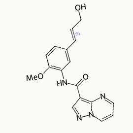 COc1ccc(/C=C/CO)cc1NC(=O)c1cnn2cccnc12